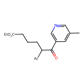 CCOC(=O)CCCC(C(C)=O)C(=O)c1cncc(C)c1